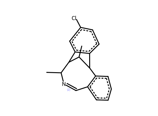 CC1/N=C\c2ccccc2C2c3ccc(Cl)cc3C1C2C